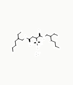 CCCCC(CC)COC(=O)CC(C(=O)OCC(CC)CCCC)S(=O)(=O)[O-].[Ag+]